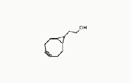 OCCC1C2CCC#CCCC12